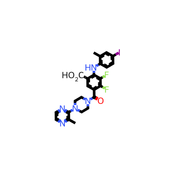 Cc1cc(I)ccc1Nc1c(C(=O)O)cc(C(=O)N2CCN(c3nccnc3C)CC2)c(F)c1F